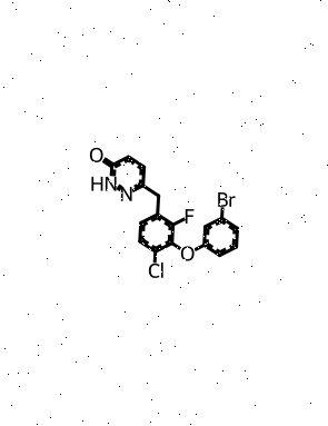 O=c1ccc(Cc2ccc(Cl)c(Oc3cccc(Br)c3)c2F)n[nH]1